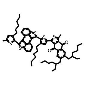 CCCCCCc1cc(C)sc1-c1sc2cccc3c4c(-c5sc(-c6sc(C)c7c6C(=O)c6cc(CC(CC)CCCC)c(CC(CC)CCCC)cc6C7=O)cc5CCCCCC)sc5cccc(c1c23)c54